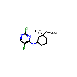 CSC[C@@]1(C)CCCC(Nc2nc(Cl)ncc2F)C1